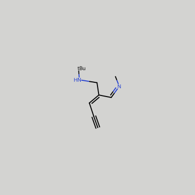 C#C/C=C(\C=N/C)CNC(C)(C)C